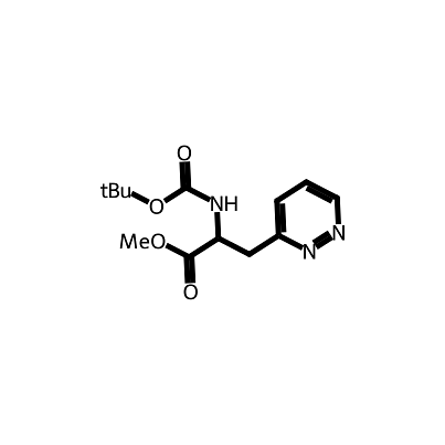 COC(=O)C(Cc1cccnn1)NC(=O)OC(C)(C)C